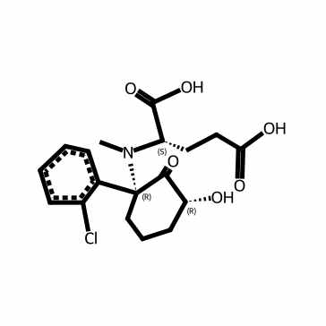 CN([C@@H](CCC(=O)O)C(=O)O)[C@@]1(c2ccccc2Cl)CCC[C@@H](O)C1=O